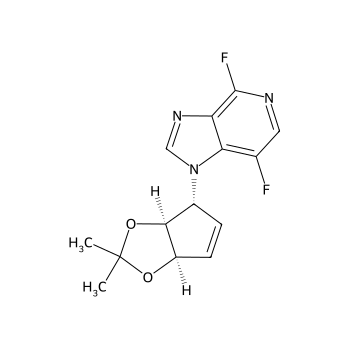 CC1(C)O[C@H]2[C@H](n3cnc4c(F)ncc(F)c43)C=C[C@H]2O1